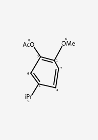 COc1ccc(C(C)C)cc1OC(C)=O